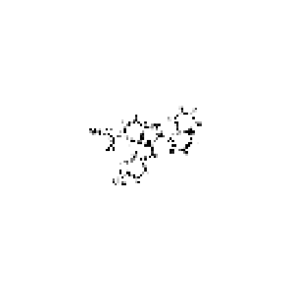 COC(=O)c1ccc2nc(-c3cccc4ccccc34)n(Cc3ccc(Cl)cc3)c2c1